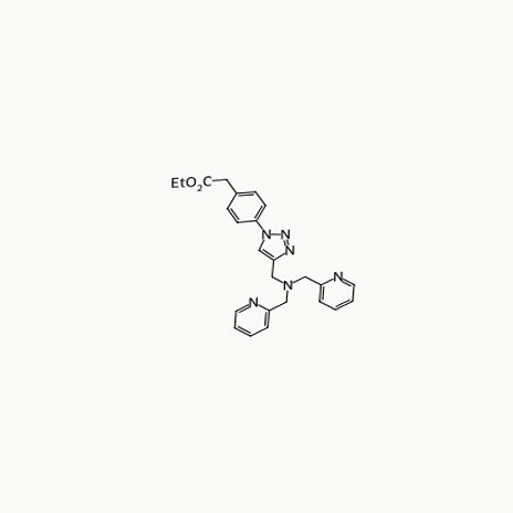 CCOC(=O)Cc1ccc(-n2cc(CN(Cc3ccccn3)Cc3ccccn3)nn2)cc1